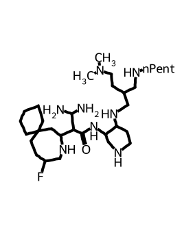 CCCCCNCC(CCN(C)C)CNC1CCNCC1NC(=O)C(C(N)N)C1CC2(CCCCC2)CCC(F)CN1